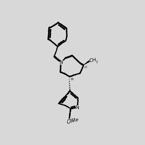 COc1ccc([C@H]2C[C@H](C)CN(Cc3ccccc3)C2)cn1